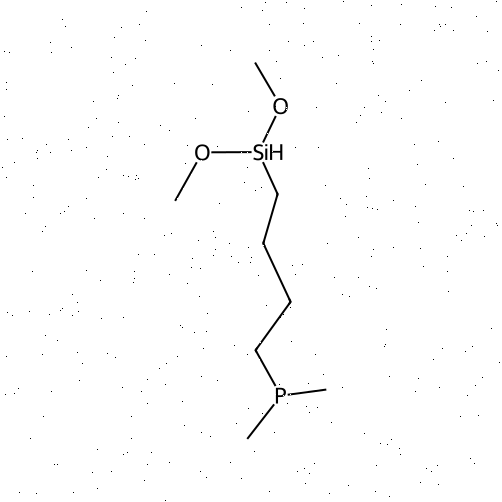 CO[SiH](CCCCP(C)C)OC